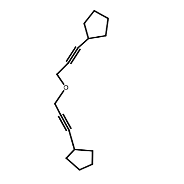 C(#CC1CCCC1)COCC#CC1CCCC1